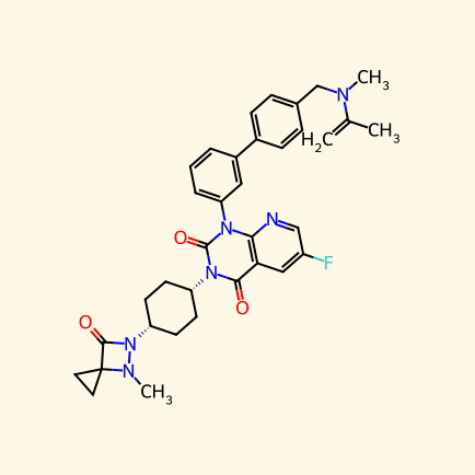 C=C(C)N(C)Cc1ccc(-c2cccc(-n3c(=O)n([C@H]4CC[C@@H](N5C(=O)C6(CC6)N5C)CC4)c(=O)c4cc(F)cnc43)c2)cc1